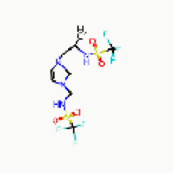 CC(CN1C=CN(CNS(=O)(=O)C(F)(F)F)C1)NS(=O)(=O)C(F)(F)F